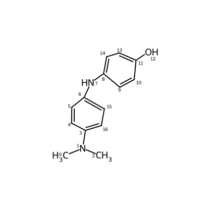 CN(C)c1ccc(Nc2ccc(O)cc2)cc1